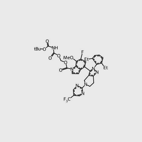 CCc1cccc(CC)c1-n1nc2c(c1-c1cc(F)c(OC)c3c1ccn3C(=O)OCOC(=O)NC(=O)OC(C)(C)C)CN(c1ncc(C(F)(F)F)cn1)CC2